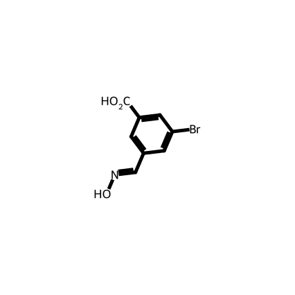 O=C(O)c1cc(Br)cc(C=NO)c1